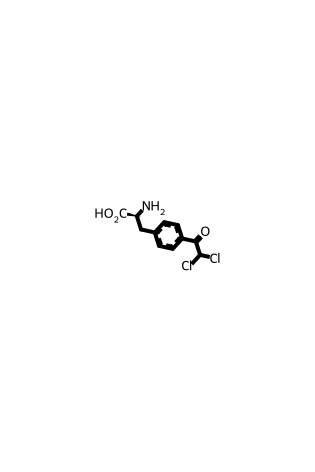 N[C@@H](Cc1ccc(C(=O)C(Cl)Cl)cc1)C(=O)O